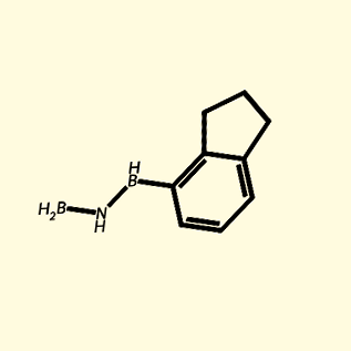 BNBc1cccc2c1CCC2